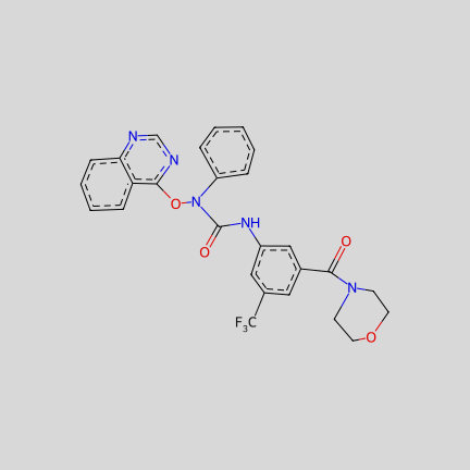 O=C(c1cc(NC(=O)N(Oc2ncnc3ccccc23)c2ccccc2)cc(C(F)(F)F)c1)N1CCOCC1